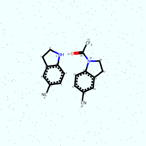 N#Cc1ccc2c(c1)CCN2.N#Cc1ccc2c(c1)CCN2C(=O)C(F)(F)F